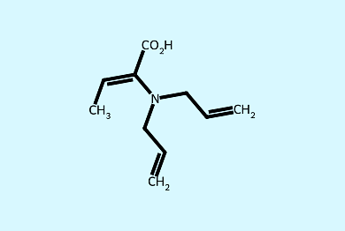 C=CCN(CC=C)C(=CC)C(=O)O